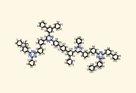 CC1(C)c2ccccc2-c2ccc(-c3nc(-c4ccccc4)nc(-c4cccc(-c5cccc(-c6cc(-c7cc(-c8ccccc8)cc(-c8ccccc8)c7)nc(-c7ccc(-c8ccc(-c9cc(-c%10ccccc%10)cc(-c%10cc(-c%11cccc(-c%12cccc(-c%13nc(-c%14cccc(-c%15ccccc%15)c%14)nc(-c%14cccc(-c%15ccccc%15)c%14)n%13)c%12)c%11)nc(-c%11ccccc%11)n%10)c9)cc8)cc7)n6)c5)c4)n3)cc21